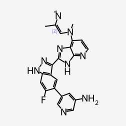 C=N/C(C)=C\N(C)c1ccnc2[nH]c(-c3n[nH]c4cc(F)c(-c5cncc(N)c5)cc34)nc12